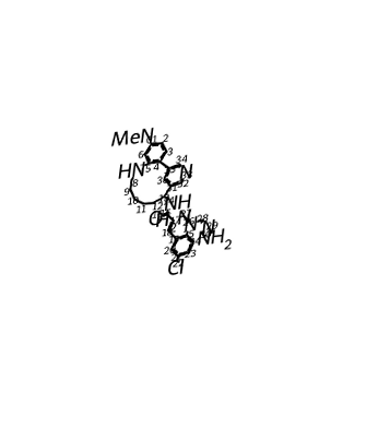 CNc1ccc2c(c1)NCCCCC[C@H](NC(=O)/C=C/c1cc(Cl)ccc1N(N)/C=N\N)c1cncc-2c1